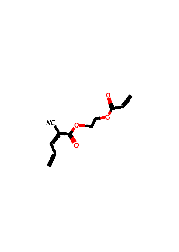 C=CC=C(C#N)C(=O)OCCOC(=O)C=C